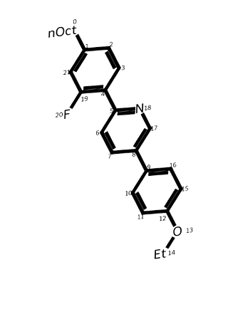 CCCCCCCCc1ccc(-c2ccc(-c3ccc(OCC)cc3)cn2)c(F)c1